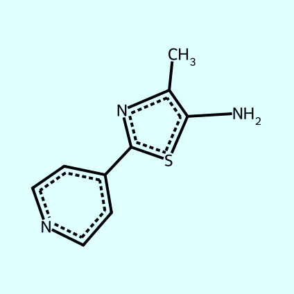 Cc1nc(-c2ccncc2)sc1N